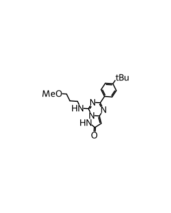 COCCCNc1nc(-c2ccc(C(C)(C)C)cc2)nc2cc(=O)[nH]n12